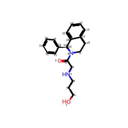 O=C(CNCCCO)N1CCc2ccccc2[C@@H]1c1ccccc1